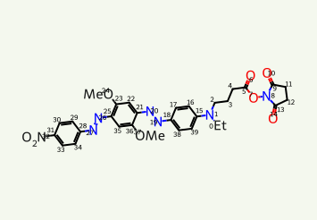 CCN(CCCC(=O)ON1C(=O)CCC1=O)c1ccc(N=Nc2cc(OC)c(N=Nc3ccc([N+](=O)[O-])cc3)cc2OC)cc1